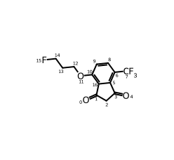 O=C1CC(=O)c2c(C(F)(F)F)ccc(OCCCF)c21